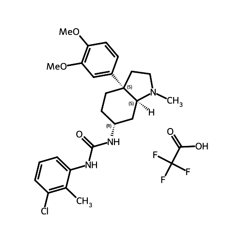 COc1ccc([C@@]23CC[C@@H](NC(=O)Nc4cccc(Cl)c4C)C[C@@H]2N(C)CC3)cc1OC.O=C(O)C(F)(F)F